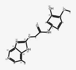 COc1ccc(NC(=O)CSc2nc3cncc(C)c3[nH]2)cc1O